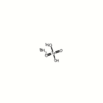 B.O=[Te](=O)(O)O